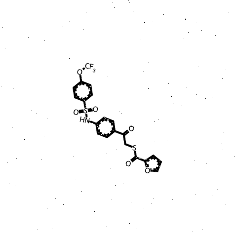 O=C(CSC(=O)c1ccco1)c1ccc(NS(=O)(=O)c2ccc(OC(F)(F)F)cc2)cc1